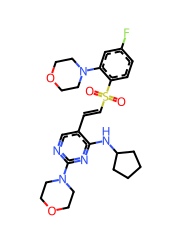 O=S(=O)(C=Cc1cnc(N2CCOCC2)nc1NC1CCCC1)c1ccc(F)cc1N1CCOCC1